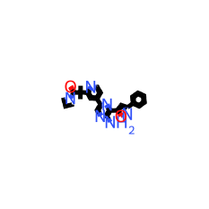 CC(C)(C(=O)N1CCC1)c1cc(-c2cnc(N)c(-c3cc(-c4ccccc4)no3)n2)ccn1